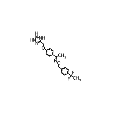 C/C(=N\OCc1ccc(C(C)(F)F)cc1)c1ccc(OCC2=NNNN2)cc1